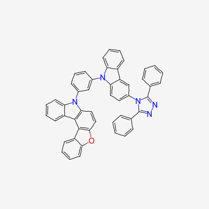 c1ccc(-c2nnc(-c3ccccc3)n2-c2ccc3c(c2)c2ccccc2n3-c2cccc(-n3c4ccccc4c4c5c(ccc43)oc3ccccc35)c2)cc1